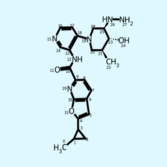 CC1CC1c1cc2ccc(C(=O)Nc3cnccc3N3C[C@H](C)[C@@H](O)[C@H](NN)C3)nc2o1